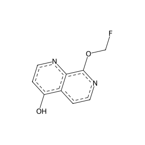 Oc1ccnc2c(OCF)nccc12